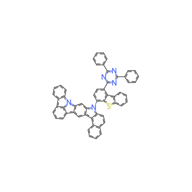 c1ccc(-c2nc(-c3ccccc3)nc(-c3ccc(-n4c5cc6c(cc5c5c7ccccc7ccc54)c4cccc5c7ccccc7n6c54)c4sc5ccccc5c34)n2)cc1